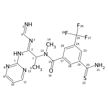 CC(/C(=N/C=N)Nc1ncccn1)N(C)C(=O)c1cc(C(N)=S)cc(C(F)(F)F)c1